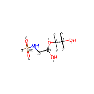 CC(C)(O)C(C)(C)OB(O)CNS(C)(=O)=O